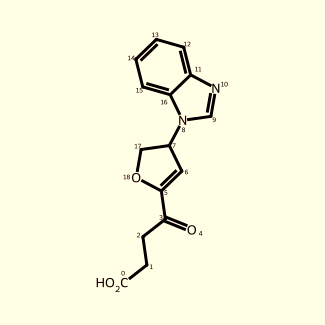 O=C(O)CCC(=O)C1=CC(n2cnc3ccccc32)CO1